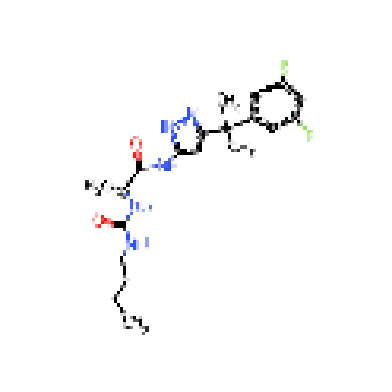 CCCCNC(=O)N[C@@H](C)C(=O)Nc1cc(C(C)(C)c2cc(F)cc(F)c2)n[nH]1